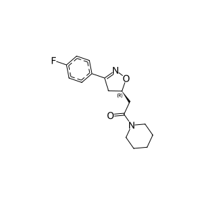 O=C(C[C@H]1CC(c2ccc(F)cc2)=NO1)N1CCCCC1